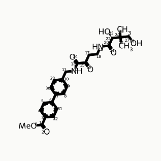 COC(=O)c1ccc(-c2ccc(CNC(=O)C(=O)CCNC(=O)[C@H](O)C(C)(C)CO)cc2)cc1